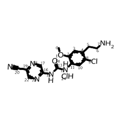 COc1cc(CCN)c(Cl)cc1NC(=O)Nc1cnc(C#N)cn1.Cl